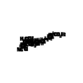 CCOC(=O)CN1CCN(CCC2CCN(c3ccc(C(=O)NC4C(C)(C)C(Oc5ccc(C#N)c(Cl)c5)C4(C)C)cn3)C2)CC1